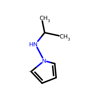 CC(C)Nn1[c]ccc1